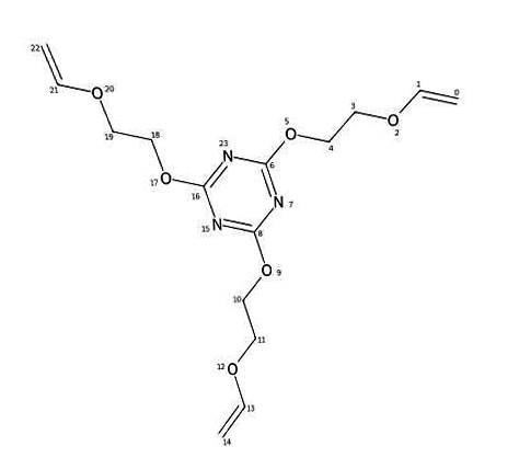 C=COCCOc1nc(OCCOC=C)nc(OCCOC=C)n1